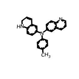 Cc1ccc(N(c2ccc3c(c2)C=CCN3)c2ccc3ncccc3c2)cc1